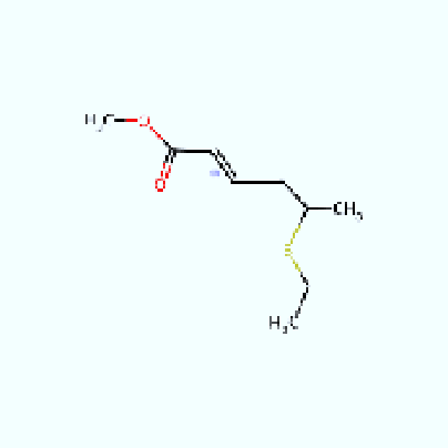 CCSC(C)C/C=C/C(=O)OC